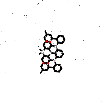 Cc1ccnc(-c2ccccc2N2c3cccc4c3B3c5c2cccc5[Si](C)(C)c2cccc(c23)N4c2ccccc2-c2cc(C)ccn2)c1